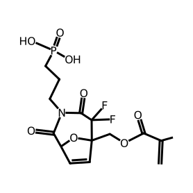 C=C(C)C(=O)OCC12C=CC(O1)C(=O)N(CCCP(=O)(O)O)C(=O)C2(F)F